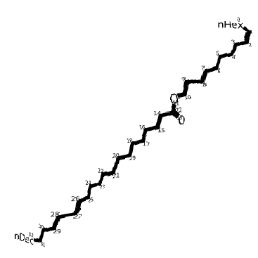 CCCCCC/C=C\CCCCCCCCOC(=O)CCCCCCCCCCCCCCCCCCCCCCCCCCCC